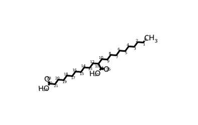 CCCCCCCCCCCC(CCCCCCCCCCC(=O)O)C(=O)O